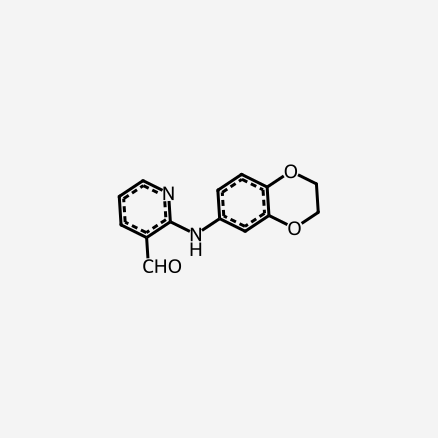 O=Cc1cccnc1Nc1ccc2c(c1)OCCO2